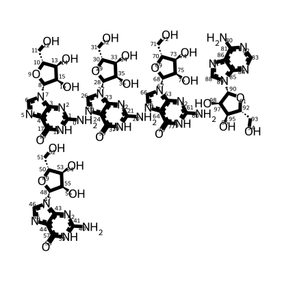 Nc1nc2c(ncn2[C@@H]2O[C@H](CO)[C@@H](O)[C@H]2O)c(=O)[nH]1.Nc1nc2c(ncn2[C@@H]2O[C@H](CO)[C@@H](O)[C@H]2O)c(=O)[nH]1.Nc1nc2c(ncn2[C@@H]2O[C@H](CO)[C@@H](O)[C@H]2O)c(=O)[nH]1.Nc1nc2c(ncn2[C@@H]2O[C@H](CO)[C@@H](O)[C@H]2O)c(=O)[nH]1.Nc1ncnc2c1ncn2[C@@H]1O[C@H](CO)[C@@H](O)[C@H]1O